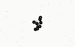 C1=CCC2C(=C1)Oc1cc(N(c3cccc(-c4ccc5c(c4)CCC=C5)c3)c3cccc4c3ccc3c5ccccc5ccc43)ccc12